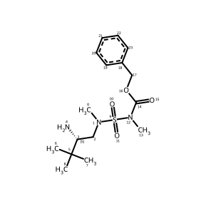 CN(C[C@@H](N)C(C)(C)C)S(=O)(=O)N(C)C(=O)OCc1ccccc1